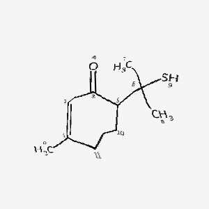 CC1=CC(=O)C(C(C)(C)S)CC1